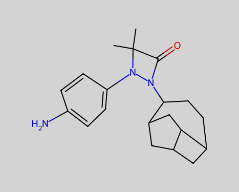 CC1(C)C(=O)N(C2CCC3CC4CC2CC34)N1c1ccc(N)cc1